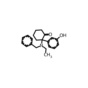 CCN(Cc1ccccc1)C1(c2cccc(O)c2)CCCCC1=O